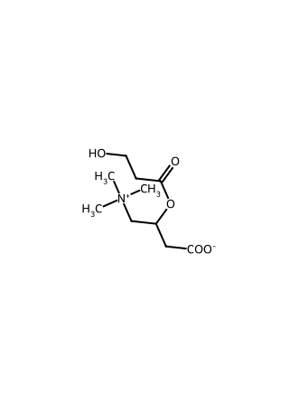 C[N+](C)(C)CC(CC(=O)[O-])OC(=O)CCO